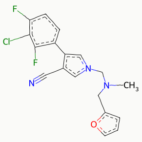 CN(Cc1ccco1)Cn1cc(C#N)c(-c2ccc(F)c(Cl)c2F)c1